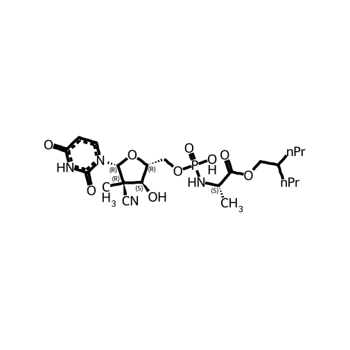 CCCC(CCC)COC(=O)[C@H](C)NP(=O)(O)OC[C@H]1O[C@@H](n2ccc(=O)[nH]c2=O)[C@](C)(C#N)[C@@H]1O